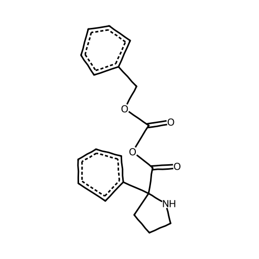 O=C(OCc1ccccc1)OC(=O)C1(c2ccccc2)CCCN1